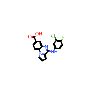 O=C(O)c1ccc2c(c1)nc(Nc1ccc(F)c(Cl)c1)c1cccn12